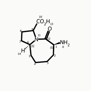 N[C@H]1CCCC[C@H]2CCC(C(=O)O)N2C1=O